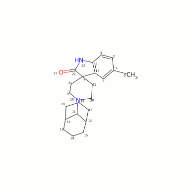 Cc1ccc2c(c1)C1(CCN(C3C4CCCC3CCC4)CC1)C(=O)N2